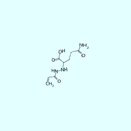 C=CC(=O)NNC(CCC(N)=O)C(=O)O